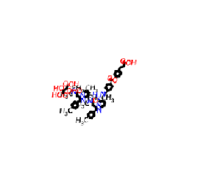 Cc1ccc(-c2nc3ccc(C)cn3c2CC(=O)N(C)C)cc1.Cc1ccc(-c2nc3ccc(C)cn3c2CC(=O)N(C)C)cc1.NC[C@H]1CC[C@H](C(=O)Oc2ccc(CCC(=O)O)cc2)CC1.O=C(O)C(O)C(O)C(=O)O